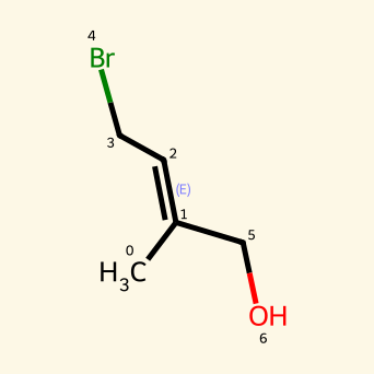 C/C(=C\CBr)CO